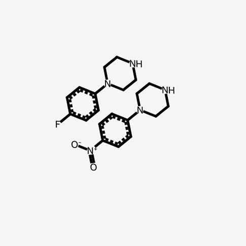 Fc1ccc(N2CCNCC2)cc1.O=[N+]([O-])c1ccc(N2CCNCC2)cc1